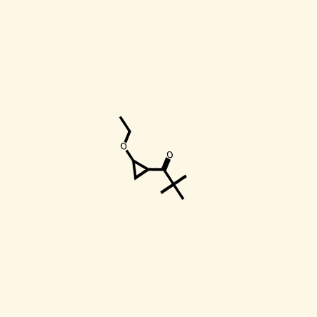 CCOC1CC1C(=O)C(C)(C)C